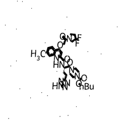 CCCCOC(=O)N1CCN(C(=O)[C@H](CCc2nn[nH]n2)NC(=O)c2cc(OCC(=O)N3CCC(F)(F)C3)c3ccc(C)cc3n2)CC1